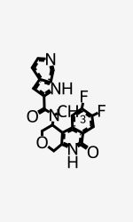 CN(C(=O)c1cc2ccncc2[nH]1)C1COCc2[nH]c(=O)c3cc(F)c(F)cc3c21